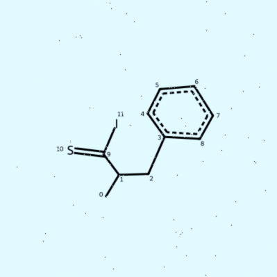 CC(Cc1ccccc1)C(=S)I